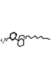 CCCCCCCCN1CCC2(c3cccc(N)c3)CCCC1C2